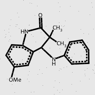 COc1ccc2c(c1)C(Nc1ccccc1)C(C)(C)C(=O)N2